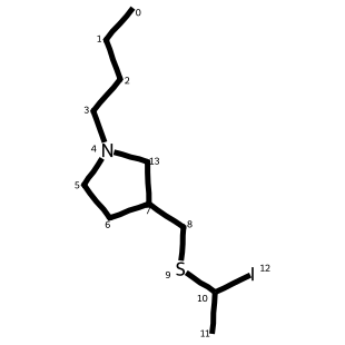 CCCCN1CCC(CSC(C)I)C1